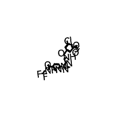 CS(=O)(=O)c1cc(Cl)cc(C(=O)NCc2ncnn2-c2ccc(C(=O)NCC(F)F)cn2)c1